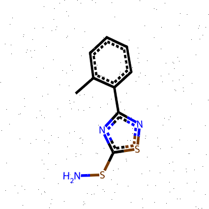 Cc1ccccc1-c1nsc(SN)n1